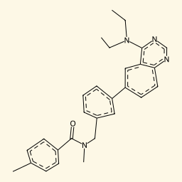 CCN(CC)c1ncnc2ccc(-c3cccc(CN(C)C(=O)c4ccc(C)cc4)c3)cc12